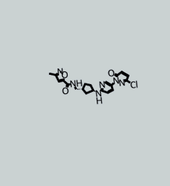 Cc1cc(C(=O)NC[C@@H]2CC[C@H](Nc3ccc(-n4nc(Cl)ccc4=O)cn3)C2)on1